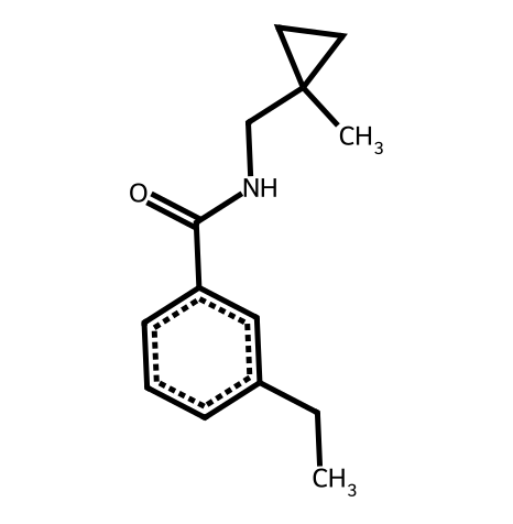 CCc1cccc(C(=O)NCC2(C)CC2)c1